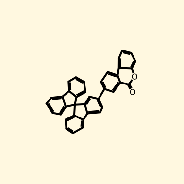 O=c1oc2ccccc2c2ccc(-c3ccc4c(c3)C3(c5ccccc5-c5ccccc53)c3ccccc3-4)cc12